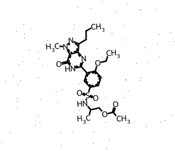 CCCc1nn(C)c2c(=O)[nH]c(-c3cc(S(=O)(=O)NC(C)COC(C)=O)ccc3OCC)nc12